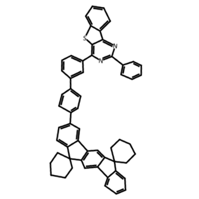 c1ccc(-c2nc(-c3cccc(-c4ccc(-c5ccc6c(c5)-c5cc7c(cc5C65CCCCC5)-c5ccccc5C75CCCCC5)cc4)c3)c3sc4ccccc4c3n2)cc1